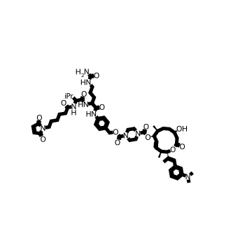 C/C(=C\c1cccc(N(C)C)c1)[C@H]1OC(=O)C[C@H](O)CC[C@H](C)[C@@H](OC(=O)N2CCN(C(=O)OCc3ccc(NC(=O)C(CCCNC(N)=O)NC(=O)C(NC(=O)CCCCCN4C(=O)C=CC4=O)C(C)C)cc3)CC2)/C=C/[C@@H]1C